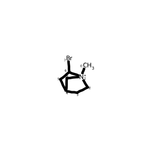 C[N+]12CCC(CC1Br)C2